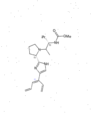 C=C/C=C(\C=C)c1c[nH]c([C@@H]2CCCN2C(C)[C@@H](NC(=O)OC)C(C)C)n1